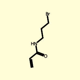 C=CC(=O)NCCCBr